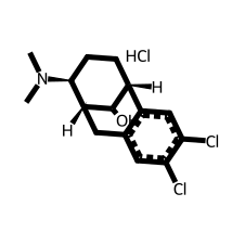 CN(C)[C@H]1CC[C@@H]2c3cc(Cl)c(Cl)cc3C[C@H]1C2O.Cl